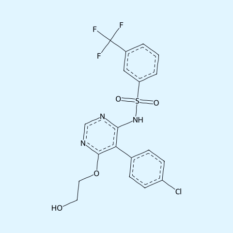 O=S(=O)(Nc1ncnc(OCCO)c1-c1ccc(Cl)cc1)c1cccc(C(F)(F)F)c1